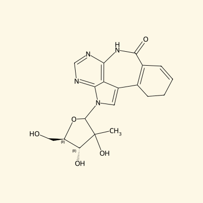 CC1(O)C(n2cc3c4c(ncnc42)NC(=O)C2=C3CCC=C2)O[C@H](CO)[C@H]1O